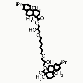 CC(C)c1ccc2c(c1)CCC1C(C)(C(=O)OCC(O)COCCCCCCOCC(O)COC(=O)C3(C)CCCC4(C)c5ccc(C(C)C)cc5CCC34)CCCC21C